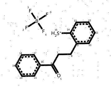 F[B-](F)(F)F.O=C(CCc1ccccc1[SH2+])c1ccccc1